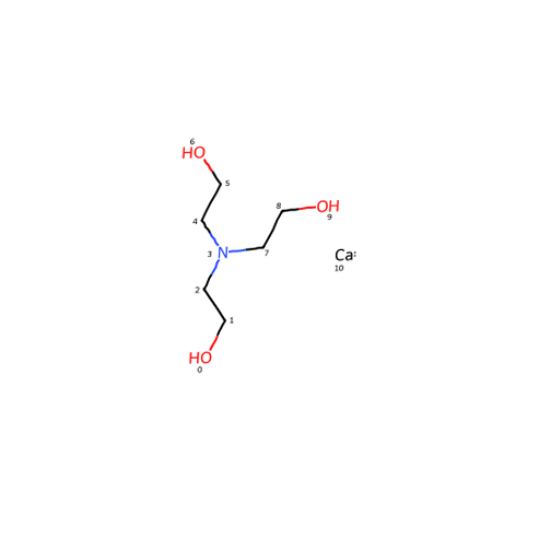 OCCN(CCO)CCO.[Ca]